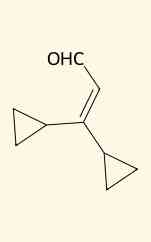 O=CC=C(C1CC1)C1CC1